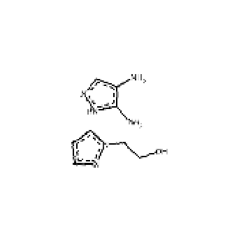 Nc1cn[nH]c1N.OCCn1cccn1